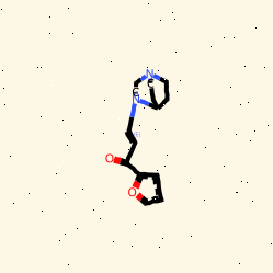 O=C(/C=C/N1CCN2CCC1CC2)c1ccco1